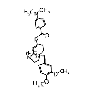 COc1ccc(C[C@@]23CCN[C@H]2C=C(OC(=O)c2ccc(N(C)C)cc2)CC3)cc1OC